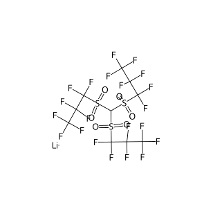 O=S(=O)(C(S(=O)(=O)C(F)(F)C(F)(F)C(F)(F)F)S(=O)(=O)C(F)(F)C(F)(F)C(F)(F)F)C(F)(F)C(F)(F)C(F)(F)F.[Li]